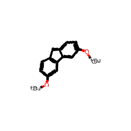 CC(C)(C)Oc1ccc2c(c1)-c1cc(OC(C)(C)C)ccc1C2